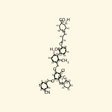 Cc1c(COc2cc(OCc3cncc(C#N)c3)c(CN3CCCC[C@H]3C)cc2Cl)cccc1-c1cccc(OCCCN2CCC(C(=O)O)CC2)c1C